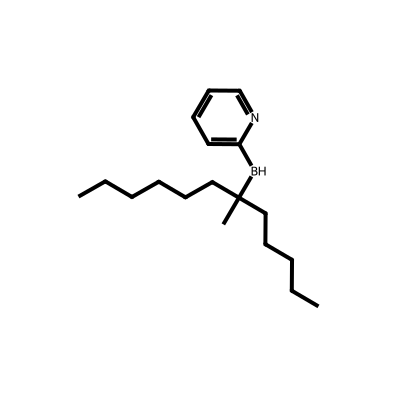 CCCCCCC(C)(Bc1ccccn1)CCCCC